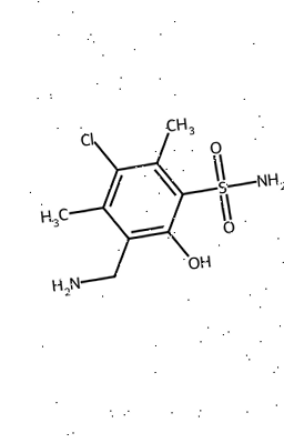 Cc1c(Cl)c(C)c(S(N)(=O)=O)c(O)c1CN